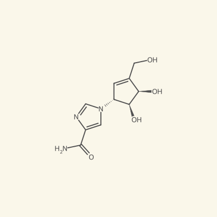 NC(=O)c1cn([C@@H]2C=C(CO)[C@@H](O)[C@H]2O)cn1